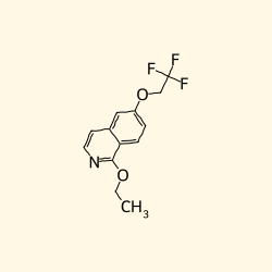 CCOc1nccc2cc(OCC(F)(F)F)ccc12